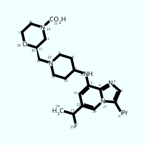 CC(C)c1cnc2c(NC3CCN(C[C@@H]4CN(C(=O)O)CCO4)CC3)cc(C(C)F)cn12